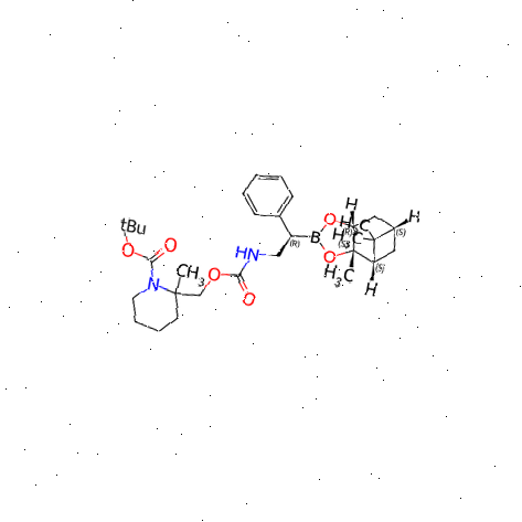 CC(C)(C)OC(=O)N1CCCCC1(C)COC(=O)NC[C@H](B1O[C@@H]2C[C@@H]3C[C@@H](C3(C)C)[C@]2(C)O1)c1ccccc1